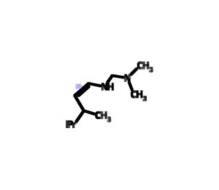 CC(C)C(C)/C=C\NCN(C)C